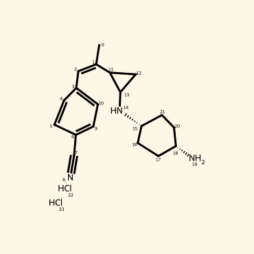 CC(=Cc1ccc(C#N)cc1)C1CC1N[C@H]1CC[C@@H](N)CC1.Cl.Cl